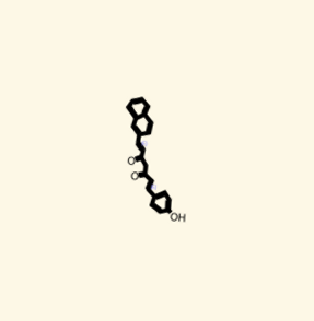 O=C(/C=C/c1ccc(O)cc1)CC(=O)/C=C/c1ccc2ccccc2c1